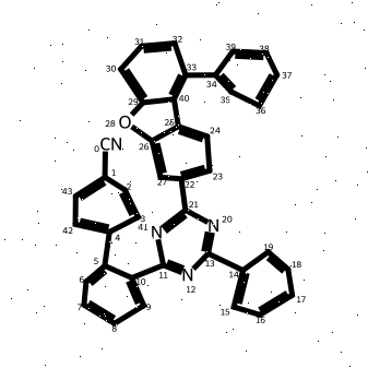 N#Cc1ccc(-c2ccccc2-c2nc(-c3ccccc3)nc(-c3ccc4c(c3)oc3cccc(-c5ccccc5)c34)n2)cc1